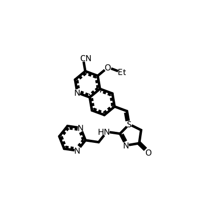 CCOc1c(C#N)cnc2ccc(/C=S3/CC(=O)N=C3NCc3ncccn3)cc12